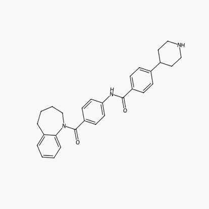 O=C(Nc1ccc(C(=O)N2CCCCc3ccccc32)cc1)c1ccc(C2CCNCC2)cc1